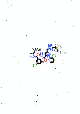 CSC[C@H](C)NC(=O)c1cc(Cl)cc(C)c1NC(=O)c1cc(Cn2nnc(C(F)(C(F)(F)F)C(F)(F)F)n2)nn1-c1ncccc1Cl